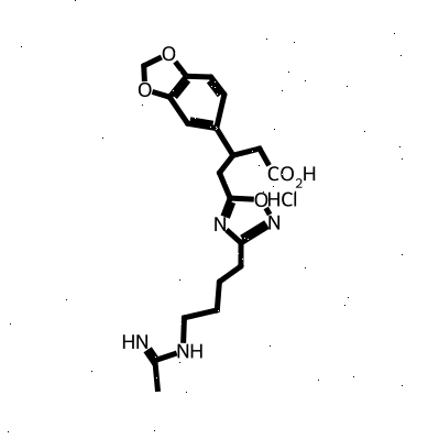 CC(=N)NCCCCc1noc(CC(CC(=O)O)c2ccc3c(c2)OCO3)n1.Cl